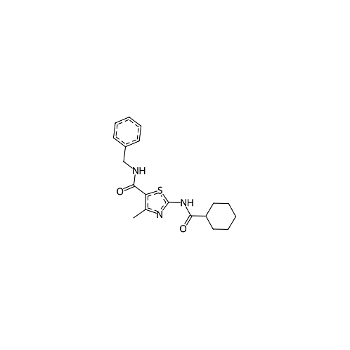 Cc1nc(NC(=O)C2CCCCC2)sc1C(=O)NCc1ccccc1